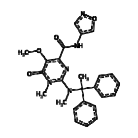 COc1c(C(=O)Nc2cnoc2)nc(N(C)C(C)(c2ccccc2)c2ccccc2)n(C)c1=O